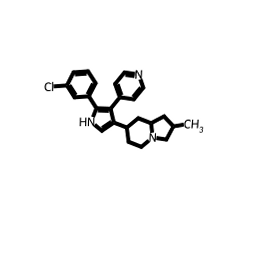 CC1CC2CC(c3c[nH]c(-c4cccc(Cl)c4)c3-c3ccncc3)CCN2C1